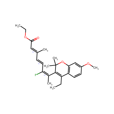 CCOC(=O)/C=C(C)/C=C/C(F)=C(/C)C1=C(CC)c2ccc(OC)cc2OC1(C)C